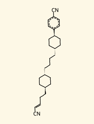 N#C/C=C/CC[C@H]1CC[C@H](CCCC[C@H]2CC[C@H](c3ccc(C#N)cc3)CC2)CC1